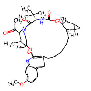 COc1ccc2cc3c(nc2c1)O[C@H]1CN(C(=O)[C@H](C(C)(C)C)NC(=O)O[C@]2(C)CC4C[C@H]4[C@H]2CCCCC3)[C@H](C(C)=O)[C@@H]1C